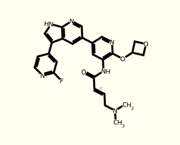 CN(C)C/C=C/C(=O)Nc1cc(-c2cnc3[nH]cc(-c4ccnc(F)c4)c3c2)cnc1OC1COC1